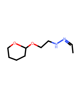 C/C=N\NCCOC1CCCCO1